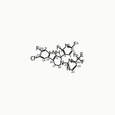 Fc1ccc(C2c3[nH]c4cc(F)c(Cl)cc4c3CCN2c2nccc(C(F)(F)F)n2)c(F)n1